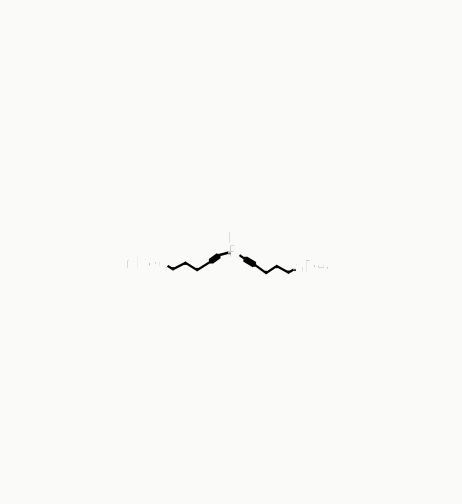 CCCCCCCCCCCCCC#CPC#CCCCCCCCCCCCCC